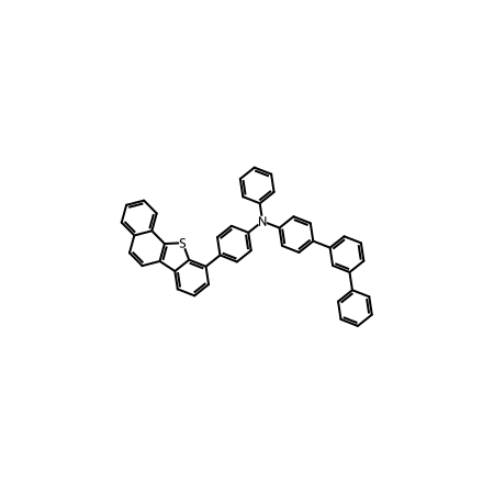 c1ccc(-c2cccc(-c3ccc(N(c4ccccc4)c4ccc(-c5cccc6c5sc5c7ccccc7ccc65)cc4)cc3)c2)cc1